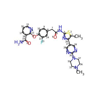 Cc1sc(NC(=O)Cc2ccc(Oc3ncccc3C(N)=O)c(F)c2)nc1-c1cnc(N2CCN(C)CC2)nc1